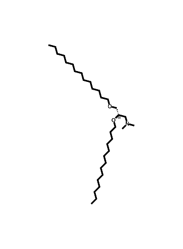 CCCCCCCCCCCCCCOC[C@H](CN(C)C)OCCCCCCCCCCCCCC